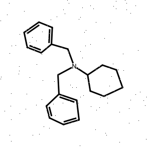 [CH]1CCCC(N(Cc2ccccc2)Cc2ccccc2)C1